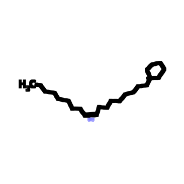 CCCCCCCC/C=C\CCCCCCCC[C]1CCCCC1